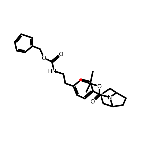 CC(C)(C)OC(=O)N1C2CCC1CN(c1ccc(CCNC(=O)OCc3ccccc3)cc1)C2